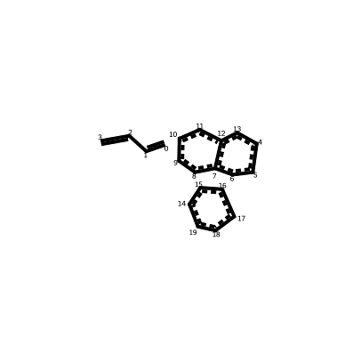 C=CC=C.c1ccc2ccccc2c1.c1ccccc1